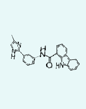 Cc1c[nH]c(-c2cccc(NC(=O)c3cccc4c3[nH]c3ccccc34)c2)n1